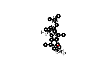 CC1(C)c2ccccc2-c2c(-n3c4ccccc4c4cccc5c6cc(-c7ccccc7)ccc6n(-c6ccc7c(c6)c6c8c(ccc6n7-c6cccc(-c7nc(-c9ccccc9)nc(-c9ccccc9)n7)c6)-c6ccccc6C8(C)C)c6ccccc6c6cccc(c7cc(-c8ccccc8)ccc73)c6c54)cccc21